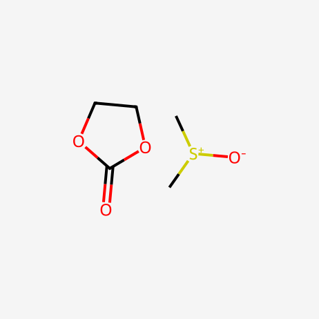 C[S+](C)[O-].O=C1OCCO1